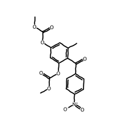 COC(=O)Oc1cc(C)c(C(=O)c2ccc([N+](=O)[O-])cc2)c(OC(=O)OC)c1